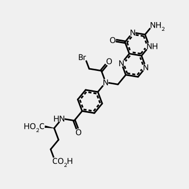 Nc1nc(=O)c2nc(CN(C(=O)CBr)c3ccc(C(=O)N[C@@H](CCC(=O)O)C(=O)O)cc3)cnc2[nH]1